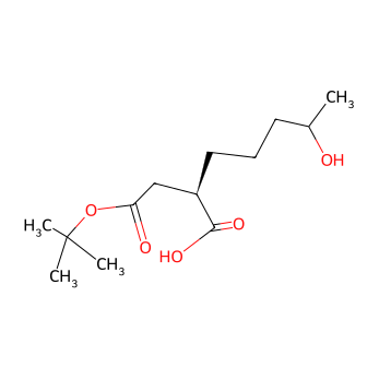 CC(O)CCC[C@H](CC(=O)OC(C)(C)C)C(=O)O